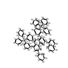 c1ccc([Si](c2ccccc2)(c2ccccc2)c2cccc(-c3cc(-c4ccccn4)nc4c3ccc3c(-c5cccc([Si](c6ccccc6)(c6ccccc6)c6ccccc6)c5)cc(-c5cccc6cccnc56)nc34)c2)cc1